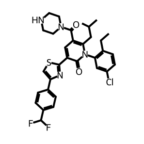 CCc1ccc(Cl)cc1-n1c(CC(C)C)c(C(=O)N2CCNCC2)cc(-c2nc(-c3ccc(C(F)F)cc3)cs2)c1=O